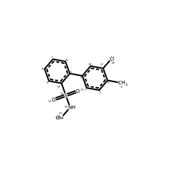 Cc1ccc(-c2ccccc2S(=O)(=O)NC(C)(C)C)cc1Cl